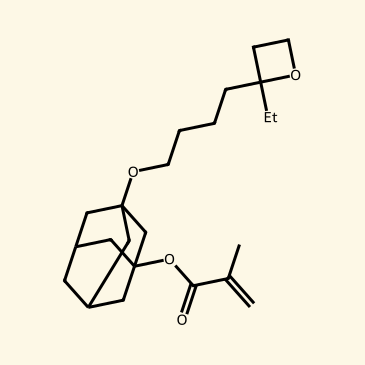 C=C(C)C(=O)OC12CC3CC(CC(OCCCCC4(CC)CCO4)(C3)C1)C2